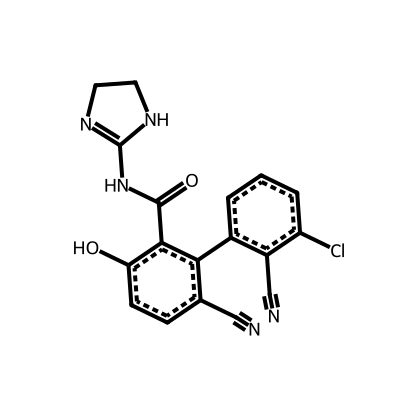 N#Cc1ccc(O)c(C(=O)NC2=NCCN2)c1-c1cccc(Cl)c1C#N